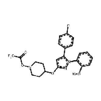 COc1ccccc1-n1nc(OC2CCN(OC(=O)C(F)(F)F)CC2)cc1-c1ccc(Cl)cc1